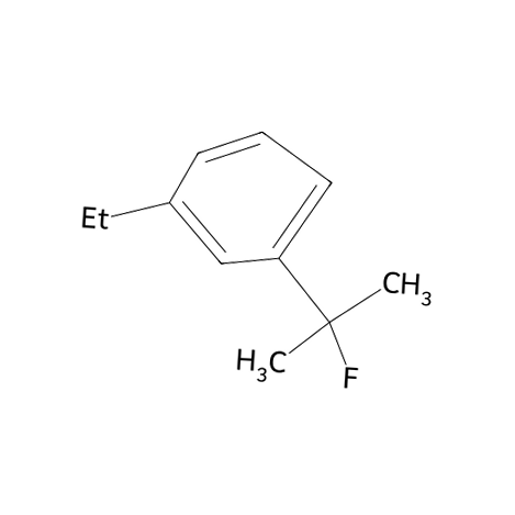 CCc1cccc(C(C)(C)F)c1